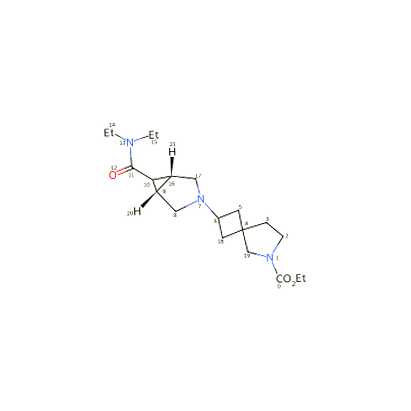 CCOC(=O)N1CCC2(CC(N3C[C@@H]4C(C(=O)N(CC)CC)[C@@H]4C3)C2)C1